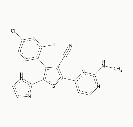 CNc1nccc(-c2sc(-c3ncc[nH]3)c(-c3ccc(Cl)cc3I)c2C#N)n1